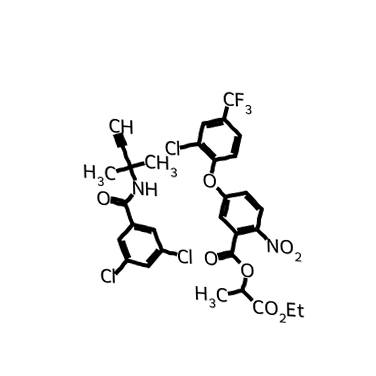 C#CC(C)(C)NC(=O)c1cc(Cl)cc(Cl)c1.CCOC(=O)C(C)OC(=O)c1cc(Oc2ccc(C(F)(F)F)cc2Cl)ccc1[N+](=O)[O-]